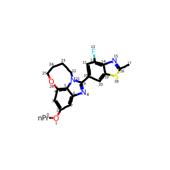 CCCOc1cc2c3c(c1)nc(-c1cc(F)c4nc(C)sc4c1)n3CCCCO2